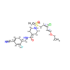 CCO/C=C/C(Cl)=C\C[SH](C)(=O)N1CCC(C(=O)NCC2CC=C(C#N)C=C2F)CC1